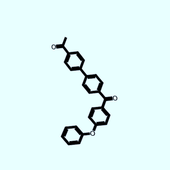 CC(=O)c1ccc(-c2ccc(C(=O)c3ccc(Oc4ccccc4)cc3)cc2)cc1